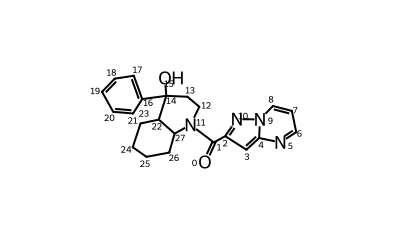 O=C(c1cc2ncccn2n1)N1CCC(O)(c2ccccc2)C2CCCCC21